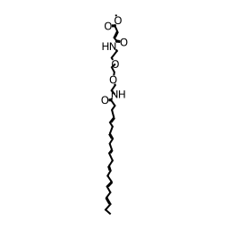 CCC=CCC=CCC=CCC=CCC=CCC=CCCC(=O)NCCOCCOCCNC(=O)C=CC(=O)OC